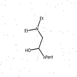 CCCCCC(O)CN(CC)CC